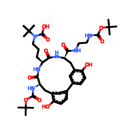 CC(C)(C)OC(=O)NCCNC(=O)[C@@H]1Cc2cc(ccc2O)-c2ccc(O)c(c2)C[C@H](NC(=O)OC(C)(C)C)C(=O)N[C@@H](CCCN(C(=O)O)C(C)(C)C)C(=O)N1